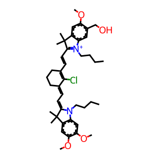 CCCCN1/C(=C\C=C2/CCCC(/C=C/C3=[N+](CCCC)c4cc(CO)c(OC)cc4C3(C)C)=C2Cl)C(C)(C)c2cc(OC)c(OC)cc21